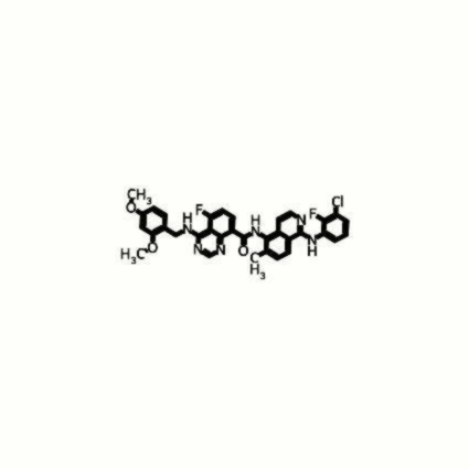 COc1ccc(CNc2ncnc3c(C(=O)Nc4c(C)ccc5c(Nc6cccc(Cl)c6F)nccc45)ccc(F)c23)c(OC)c1